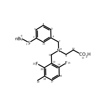 CCCCSc1cccc(CN(CCC(=O)O)Cc2c(F)ccc(C)c2F)c1